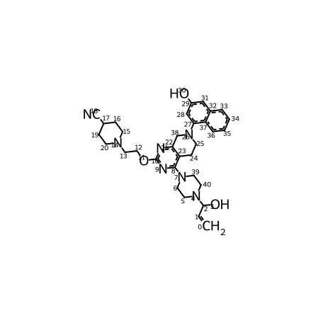 C=CC(O)N1CCN(c2nc(OCCN3CCC(C#N)CC3)nc3c2CCN(c2cc(O)cc4ccccc24)C3)CC1